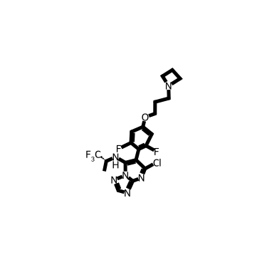 C[C@@H](Nc1c(-c2c(F)cc(OCCCN3CCC3)cc2F)c(Cl)nc2ncnn12)C(F)(F)F